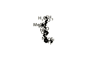 COC(=O)N[C@@H](CC/C=C/C(=O)N(C)C)C(=O)Nc1cccn(Cc2nc3cccc(OC(F)(F)C(F)F)c3s2)c1=O